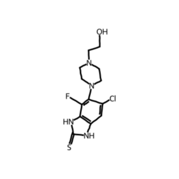 OCCN1CCN(c2c(Cl)cc3[nH]c(=S)[nH]c3c2F)CC1